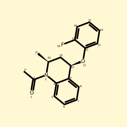 CC(=O)N1c2ccccc2[C@H](Oc2ccccc2F)C[C@@H]1C